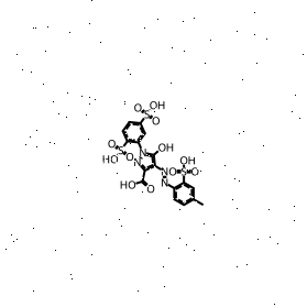 Cc1ccc(N=Nc2c(C(=O)O)nn(-c3cc(S(=O)(=O)O)ccc3S(=O)(=O)O)c2O)c(S(=O)(=O)O)c1